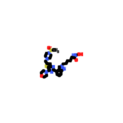 C[S+]([O-])N1CCN(Cc2cc3nc(-c4cccc5nn(CCCCCC(=O)NO)cc45)nc(N4CCOCC4)c3s2)CC1